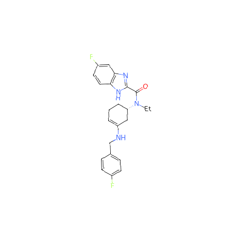 CCN(C(=O)c1nc2cc(F)ccc2[nH]1)[C@H]1CCC=C(NCc2ccc(F)cc2)C1